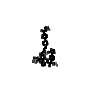 COC(=O)c1ccc(N2CCN(CCOCC(=O)N[C@H](C(=O)N3CCC[C@H]3C(=O)N[C@@H](C)c3ccc(-c4scnc4C)cc3)C(C)(C)C)CC2)nc1